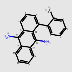 Cc1ccccc1-c1cccc2c(N)c3ccccc3c(N)c12